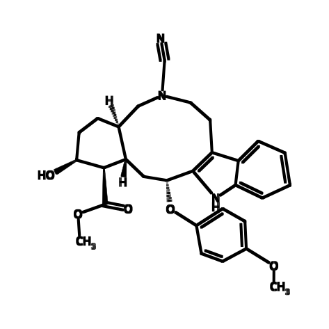 COC(=O)[C@@H]1[C@H]2C[C@@H](Oc3ccc(OC)cc3)c3[nH]c4ccccc4c3CCN(C#N)C[C@@H]2CC[C@@H]1O